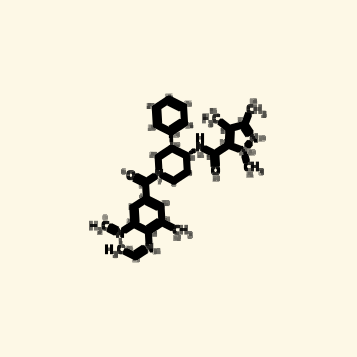 C=Nc1cc(C(=O)N2CC[C@@H](NC(=O)c3c(C(F)(F)F)c(C)nn3C)[C@@H](c3ccccc3)C2)cc(C)c1/N=C\C